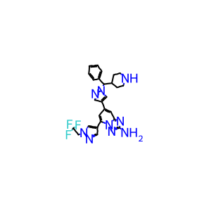 Nc1nc2cc(-c3cnn(C(c4ccccc4)C4CCNCC4)c3)cc(-c3cnn(CC(F)(F)F)c3)n2n1